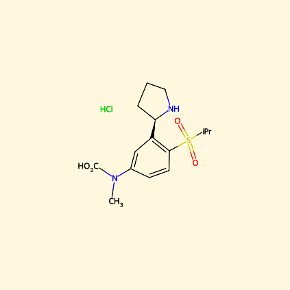 CC(C)S(=O)(=O)c1ccc(N(C)C(=O)O)cc1[C@H]1CCCN1.Cl